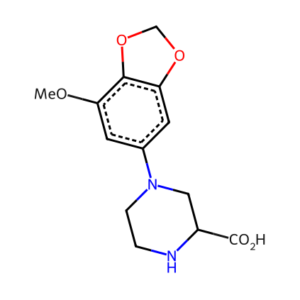 COc1cc(N2CCNC(C(=O)O)C2)cc2c1OCO2